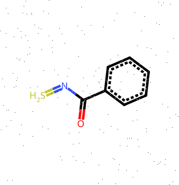 O=C(N=[SH2])c1ccccc1